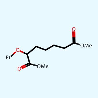 CCOC(CCCCC(=O)OC)C(=O)OC